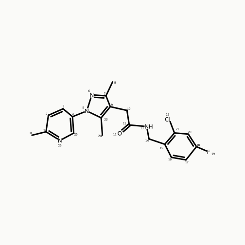 Cc1ccc(-n2nc(C)c(CC(=O)NCc3ccc(F)cc3Cl)c2C)cn1